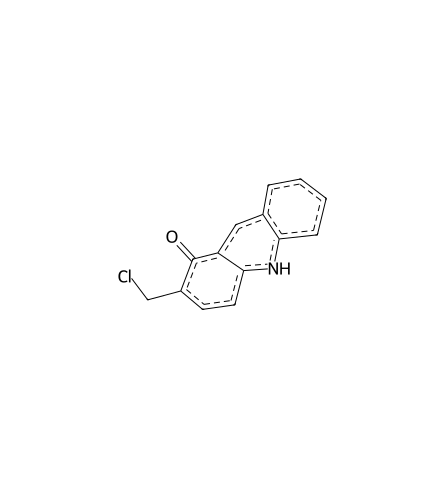 O=c1c(CCl)ccc2[nH]c3ccccc3cc1-2